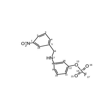 O=[N+]([O-])c1cccc(CNc2cccc(OS(=O)(=O)F)c2)c1